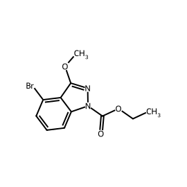 CCOC(=O)n1nc(OC)c2c(Br)cccc21